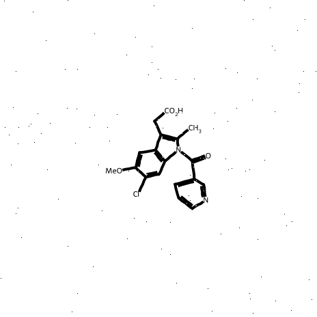 COc1cc2c(CC(=O)O)c(C)n(C(=O)c3cccnc3)c2cc1Cl